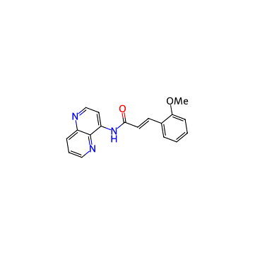 COc1ccccc1/C=C/C(=O)Nc1ccnc2cccnc12